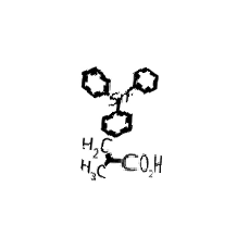 C=C(C)C(=O)O.c1cc[c]([Sn]([c]2ccccc2)[c]2ccccc2)cc1